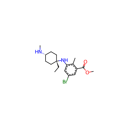 CC[C@]1(Nc2cc(Br)cc(C(=O)OC)c2C)CC[C@@H](NC)CC1